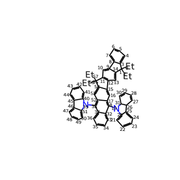 CCC1(CC)c2ccccc2-c2cc3c(cc21)-c1cc2c(N4c5ccccc5C5C=CC=CC54)c4ccccc4c(-n4c5ccccc5c5ccccc54)c2cc1C3(CC)CC